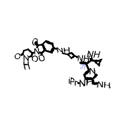 CC(C)Nc1cc(/C(=C/NC2CC(CNc3ccc4c(c3)C(=O)N(C3CCC(=O)NC3=O)C4=O)C2)C(=N)C2CC2)ncc1C=N